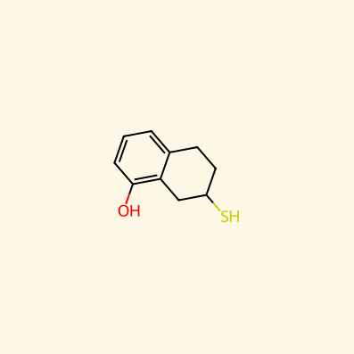 Oc1cccc2c1CC(S)CC2